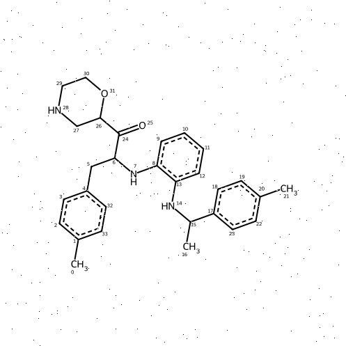 Cc1ccc(CC(Nc2ccccc2NC(C)c2ccc(C)cc2)C(=O)C2CNCCO2)cc1